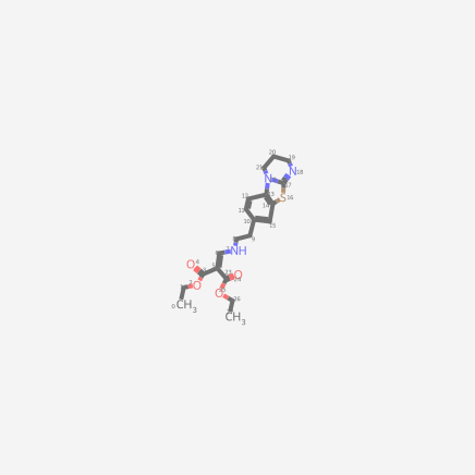 CCOC(=O)C(=CNCCc1ccc2c(c1)SC1=NCCCN12)C(=O)OCC